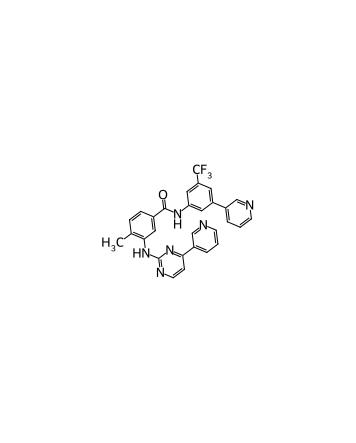 Cc1ccc(C(=O)Nc2cc(-c3cccnc3)cc(C(F)(F)F)c2)cc1Nc1nccc(-c2cccnc2)n1